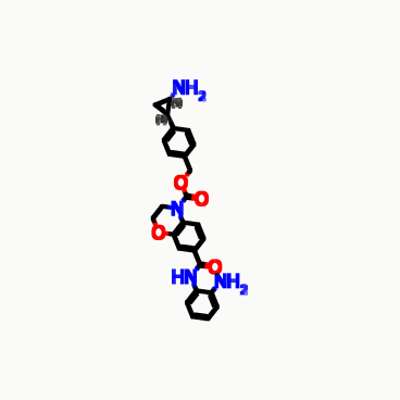 Nc1ccccc1NC(=O)c1ccc2c(c1)OCCN2C(=O)OCc1ccc([C@H]2C[C@@H]2N)cc1